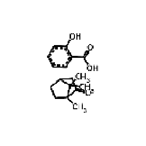 CC12CCC(CC1=O)C2(C)C.O=C(O)c1ccccc1O